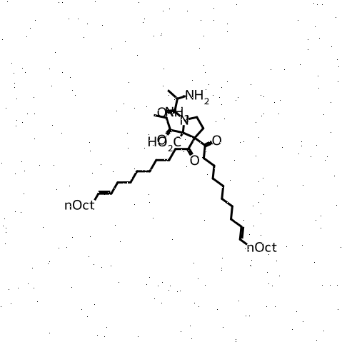 CCCCCCCCC=CCCCCCCCC(=O)C1(C(=O)CCCCCCCC=CCCCCCCCC)CCN(C(=O)C(C)N)C1(C(=O)O)C(=O)C(C)N